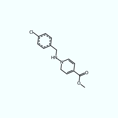 COC(=O)C1=CCN(NCc2ccc(Cl)cc2)C=C1